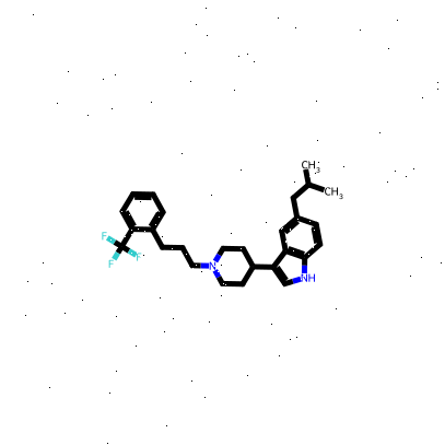 CC(C)Cc1ccc2[nH]cc(C3CCN(CCCc4ccccc4C(F)(F)F)CC3)c2c1